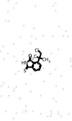 CC(C)(CCl)c1cccc2c1C(=O)NC2=S